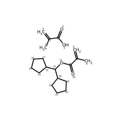 C=C(C)C(=O)O.C=C(C)C(=O)OC(C1CCCC1)C1CCCC1